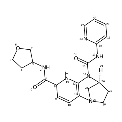 O=C(NC1CCOC1)C1C=CC2=C(N1)N(C(=O)Nc1ccccn1)[C@H]1CCN2C1